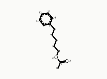 CC(=O)OCCCCCc1ccccc1